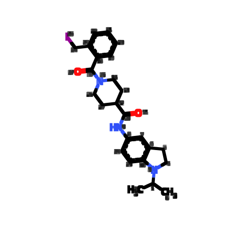 CC(C)N1CCc2cc(NC(=O)C3CCN(C(=O)c4ccccc4CI)CC3)ccc21